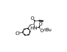 C#CC(=O)[C@H](Cc1cccc(Cl)c1)NC(=O)OC(C)(C)C